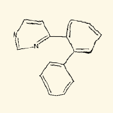 c1ccc(-c2ccccc2-c2ccncn2)cc1